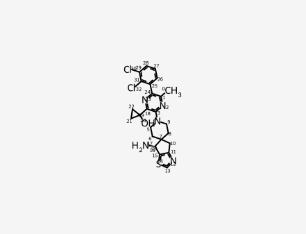 Cc1nc(N2CCC3(CC2)Cc2ncsc2[C@H]3N)c(C2(O)CC2)nc1-c1cccc(Cl)c1Cl